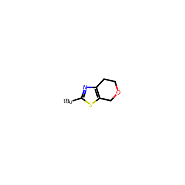 CC(C)(C)c1nc2c(s1)COCC2